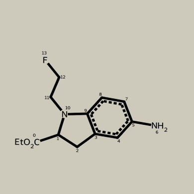 CCOC(=O)C1Cc2cc(N)ccc2N1CCF